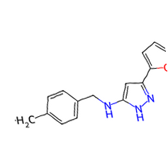 [CH2]c1ccc(CNc2cc(-c3ccco3)n[nH]2)cc1